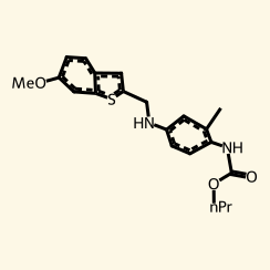 CCCOC(=O)Nc1ccc(NCc2cc3ccc(OC)cc3s2)cc1C